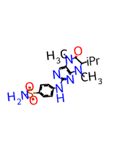 CC(C)C1C(=O)N(C)c2cnc(Nc3ccc(S(N)(=O)=O)cc3)nc2N1C